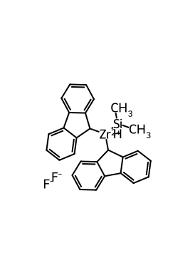 C[SiH](C)[Zr+2]([CH]1c2ccccc2-c2ccccc21)[CH]1c2ccccc2-c2ccccc21.[F-].[F-]